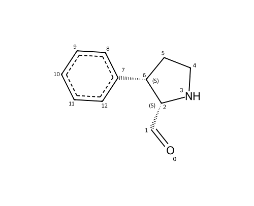 O=C[C@H]1NCC[C@H]1c1ccccc1